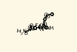 NC(=O)CCC1CN(c2ccc(-c3cnc(N4CCNCC4C(=O)OCc4ccc(C(=O)OCc5ccccc5)cc4)nc3)c(F)c2)C(=O)O1